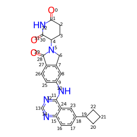 O=C1CCC(N2Cc3cc(Nc4ncnc5ccc(C6CCC6)cc45)ccc3C2=O)C(=O)N1